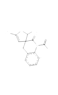 CC(=O)N1C(=O)C2(C=C(C)OC2C)Cc2ccccc21